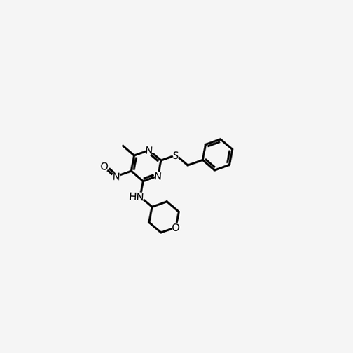 Cc1nc(SCc2ccccc2)nc(NC2CCOCC2)c1N=O